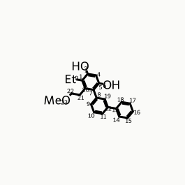 CCc1c(O)cc(O)c(-c2cccc(-c3ccccc3)c2)c1CCOC